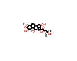 C[C@H]1C(=O)C(O)=CC2C1=CCC1[C@@]2(C)C(=O)C[C@]23C[C@](O)(C(=O)/C=C/C(C)(C)O)C2C(O)C[C@@]13C